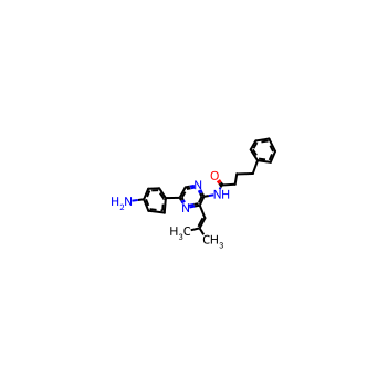 CC(C)=Cc1nc(-c2ccc(N)cc2)cnc1NC(=O)CCCc1ccccc1